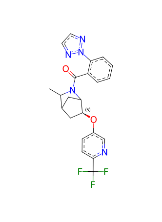 CC1C2CC([C@@H](Oc3ccc(C(F)(F)F)nc3)C2)N1C(=O)c1ccccc1-n1nccn1